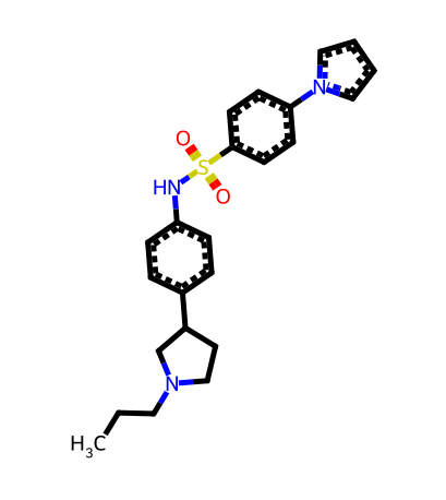 CCCN1CCC(c2ccc(NS(=O)(=O)c3ccc(-n4cccc4)cc3)cc2)C1